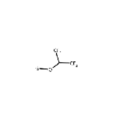 FC(F)(F)C(O[S])C(F)(F)F